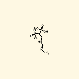 NN=CNCC(P(=O)(O)O)P(=O)(O)O